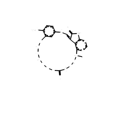 COc1ccc2cc1OCCCCCCC(=O)NCCN(C)c1ncnc3c1/C(=C/N2)C(=O)N3